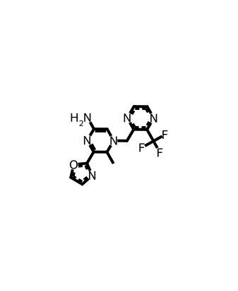 CC1C(c2ncco2)=NC(N)=CN1Cc1nccnc1C(F)(F)F